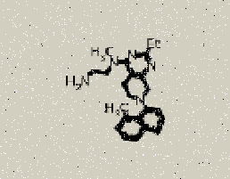 CCc1nc2c(c(N(C)CCN)n1)CCN(c1cccc3cccc(C)c13)C2